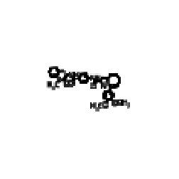 COC(=O)[C@H](Cc1ccccc1)NC(=O)c1ccc(NC(=O)c2cc3n(n2)/C(c2ccc(OC)c(OC)c2)=C\C=C/CC3)cc1